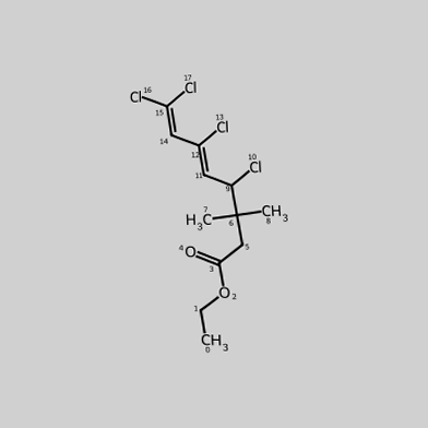 CCOC(=O)CC(C)(C)C(Cl)C=C(Cl)C=C(Cl)Cl